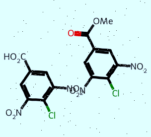 COC(=O)c1cc([N+](=O)[O-])c(Cl)c([N+](=O)[O-])c1.O=C(O)c1cc([N+](=O)[O-])c(Cl)c([N+](=O)[O-])c1